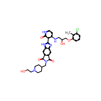 Cc1c(Cl)cccc1OCC(O)CNc1cc[nH]c(=O)c1-c1nc2cc3c(cc2[nH]1)C(=O)N(CC1CCN(CCO)CC1)C3=O